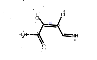 N=C/C(Cl)=C(/Cl)C(N)=O